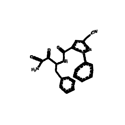 N#Cc1cc(C(=O)NC(Cc2ccccc2)C(=O)C(N)=O)n(-c2ccccc2)n1